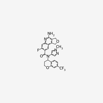 Cn1cc(N(C(=O)c2cc3c4c(c(N)nc3cc2F)COC4)C2CCOc3cc(C(F)(F)F)ccc32)cn1